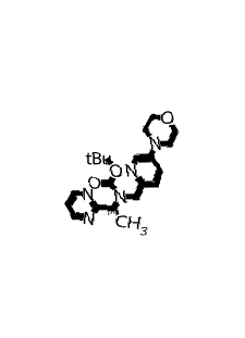 C[C@H](c1ncccn1)N(Cc1ccc(N2CCOCC2)cn1)C(=O)OC(C)(C)C